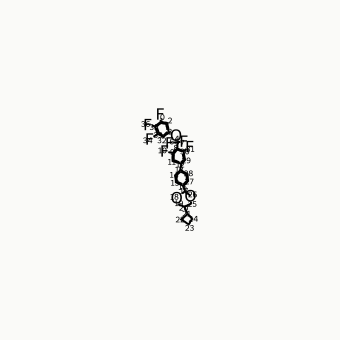 Fc1cc(OC(F)(F)c2c(F)cc(-c3ccc(C4OCC(C5CCC5)CO4)cc3)cc2F)cc(F)c1F